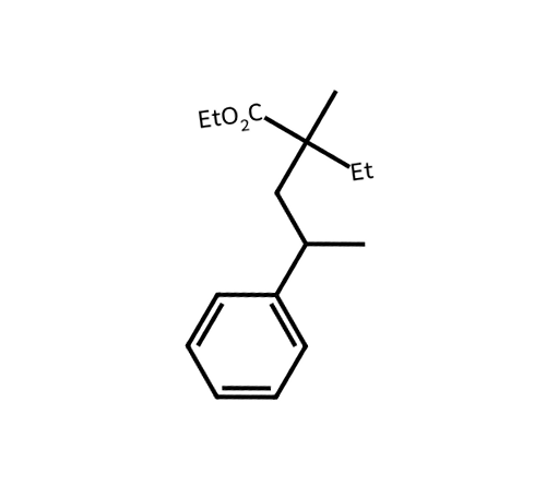 CCOC(=O)C(C)(CC)CC(C)c1ccccc1